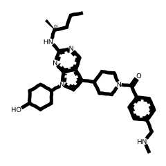 CCC[C@H](C)Nc1ncc2c(C3CCN(C(=O)c4ccc(CNC)cc4)CC3)cn(C3CCC(O)CC3)c2n1